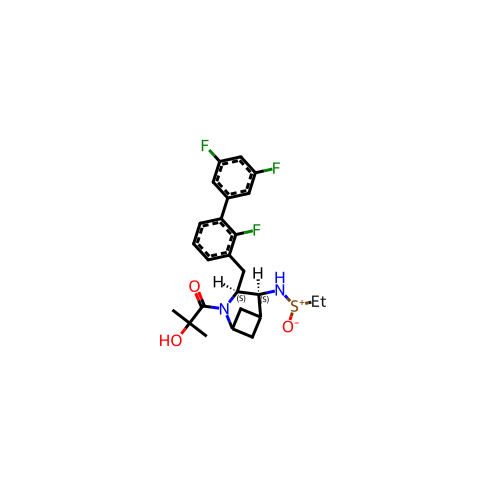 CC[S+]([O-])N[C@H]1C2CC(C2)N(C(=O)C(C)(C)O)[C@H]1Cc1cccc(-c2cc(F)cc(F)c2)c1F